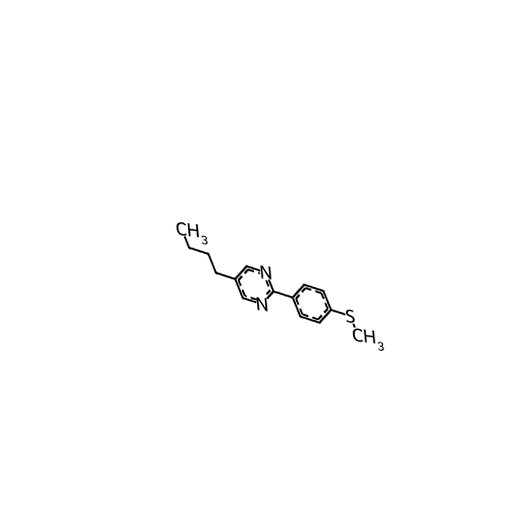 CCCCc1cnc(-c2ccc(SC)cc2)nc1